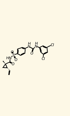 C=C[C@@H]1C[C@]1(C)C(=O)NS(=O)(=O)c1ccc(NC(=O)Nc2cc(Cl)cc(Cl)c2)cc1